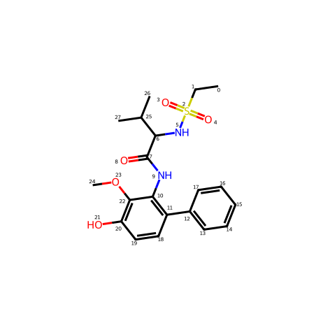 CCS(=O)(=O)NC(C(=O)Nc1c(-c2ccccc2)ccc(O)c1OC)C(C)C